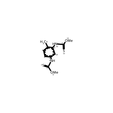 COC(=S)Nc1ccc(C)c(NC(=S)OC)c1